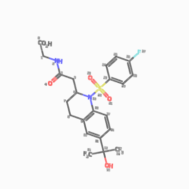 O=C(O)CNC(=O)CC1CCc2cc(C(O)(C(F)(F)F)C(F)(F)F)ccc2N1S(=O)(=O)c1ccc(F)cc1